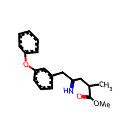 COC(=O)C(C)CC(=N)Cc1cccc(Oc2ccccc2)c1